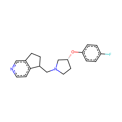 Fc1ccc(O[C@@H]2CCN(CC3CCc4cnccc43)C2)cc1